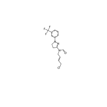 O=CN(C/C=C/CCl)C1=NN(c2cccc(C(F)(F)F)c2)CC1